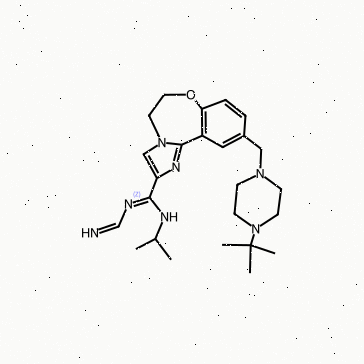 CC(C)N/C(=N\C=N)c1cn2c(n1)-c1cc(CN3CCN(C(C)(C)C)CC3)ccc1OCC2